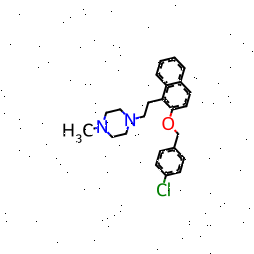 CN1CCN(CCc2c(OCc3ccc(Cl)cc3)ccc3ccccc23)CC1